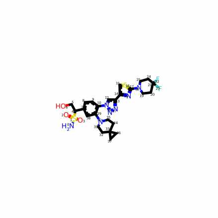 NS(=O)(=O)C(CO)c1ccc(-n2cc(-c3csc(N4CCC(F)(F)CC4)n3)nn2)c(N2CCC3(CC2)CC3)c1